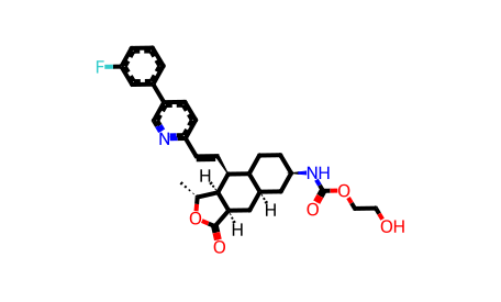 C[C@H]1OC(=O)[C@@H]2C[C@@H]3C[C@H](NC(=O)OCCO)CCC3[C@H](/C=C/c3ccc(-c4cccc(F)c4)cn3)[C@H]12